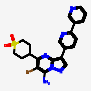 Nc1c(Br)c(C2CCS(=O)(=O)CC2)nc2c(-c3ccc(-c4cccnc4)nc3)cnn12